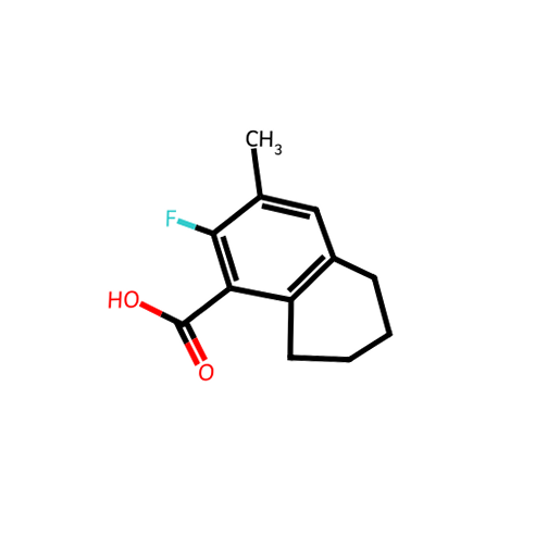 Cc1cc2c(c(C(=O)O)c1F)CCCC2